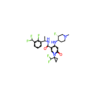 CC(NC(=O)c1cn(C2(C(F)F)CC2)c(=O)cc1N[C@@H]1CCN(C)C[C@H]1F)c1cccc(C(F)F)c1F